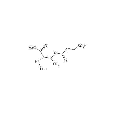 COC(=O)C(NC=O)C(C)OC(=O)CCS(=O)(=O)O